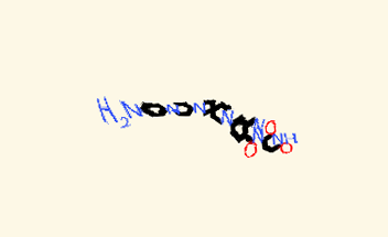 Nc1ccc(N2CCC(N3CCC4(CCN(c5ccc6c(=O)n(C7CCC(=O)NC7=O)ncc6c5)CC4)C3)CC2)cc1